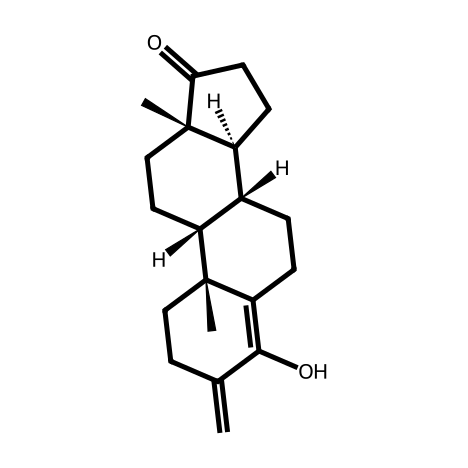 C=C1CC[C@@]2(C)C(=C1O)CC[C@@H]1[C@H]2CC[C@]2(C)C(=O)CC[C@@H]12